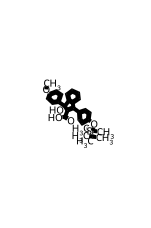 COc1ccc(C2(O)C(C(=O)O)=C(c3ccc(O[Si](C)(C)C(C)(C)C)cc3)c3ccccc32)cc1